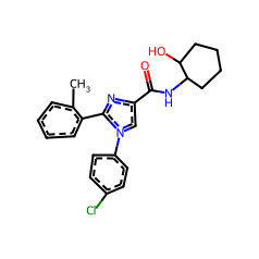 Cc1ccccc1-c1nc(C(=O)NC2CCCCC2O)cn1-c1ccc(Cl)cc1